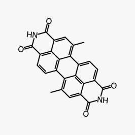 Cc1cc2c3c(ccc4c5c(C)cc6c7c(ccc(c1c34)c75)C(=O)NC6=O)C(=O)NC2=O